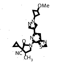 COC1CC(n2cc(-c3cc4ncsc4c(N4C[C@@H](C)[C@@](C#N)(C5CC5)C4=O)n3)cn2)C1